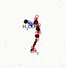 C=CC(=O)OCCCCCCOc1ccc(OC(=O)[C@H]2CC[C@H](C(=O)Oc3ccc(OC=O)cc3/C=N/N(c3nc4ccccc4s3)C(C)C)CC2)cc1